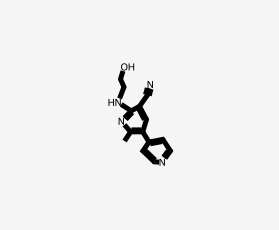 Cc1nc(NCCO)c(C#N)cc1-c1ccncc1